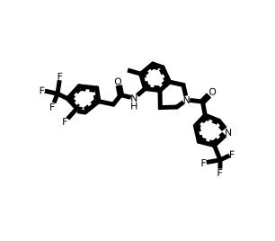 Cc1ccc2c(c1NC(=O)Cc1ccc(C(F)(F)F)c(F)c1)CCN(C(=O)c1ccc(C(F)(F)F)nc1)C2